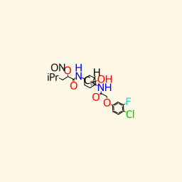 CC(C)CC(ON=O)C(=O)NC12CCC(NC(=O)COc3ccc(Cl)c(F)c3)(CC1)[C@@H](O)C2